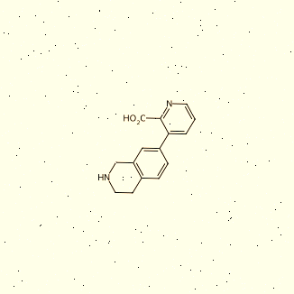 O=C(O)c1ncccc1-c1ccc2c(c1)CNCC2